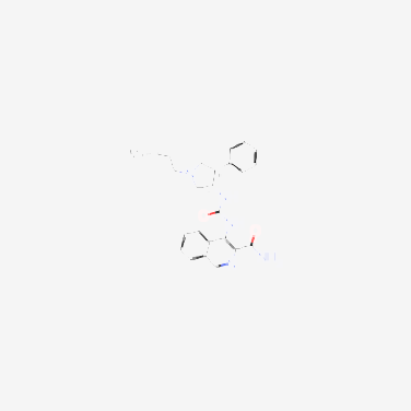 COCCN1C[C@@H](NC(=O)Nc2c(C(N)=O)ncc3ccccc23)[C@H](c2ccccc2)C1